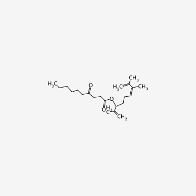 C=C(C)/C(C)=C\CCC(OC(=O)CCC(=O)CCCCCC)C(=C)C